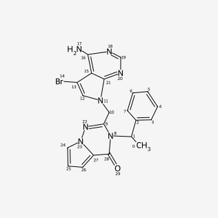 CC(c1ccccc1)n1c(Cn2cc(Br)c3c(N)ncnc32)nn2cccc2c1=O